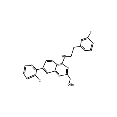 CC(C)COCc1nc(NCCc2cccc(F)c2)c2ccc(-c3ncccc3Cl)nc2n1